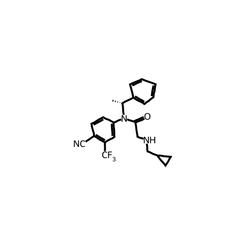 C[C@H](c1ccccc1)N(C(=O)CNCC1CC1)c1ccc(C#N)c(C(F)(F)F)c1